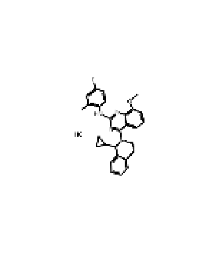 COc1cccc2c(N3CCc4ccccc4C3C3CC3)nc(Nc3ccc(F)cc3C)nc12.Cl